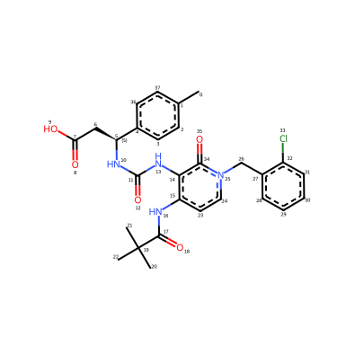 Cc1ccc([C@H](CC(=O)O)NC(=O)Nc2c(NC(=O)C(C)(C)C)ccn(Cc3ccccc3Cl)c2=O)cc1